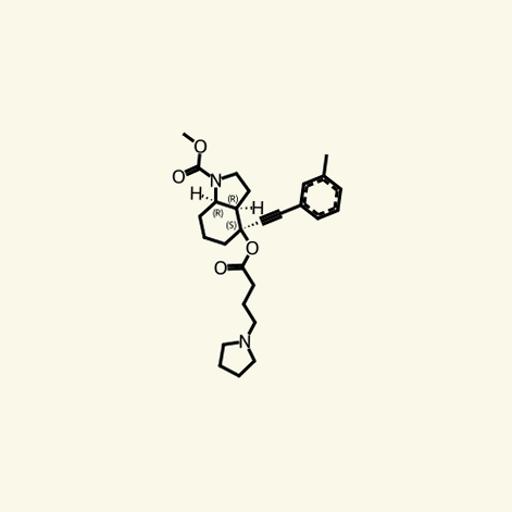 COC(=O)N1CC[C@@H]2[C@H]1CCC[C@]2(C#Cc1cccc(C)c1)OC(=O)CCCN1CCCC1